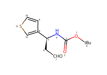 CC(C)(C)OC(=O)N[C@@H](CC=O)c1ccsc1